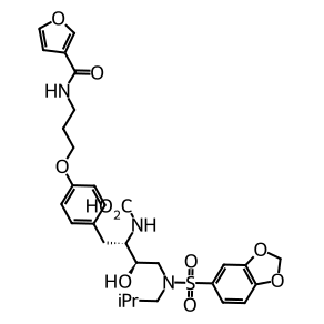 CC(C)CN(C[C@@H](O)[C@H](Cc1ccc(OCCCNC(=O)c2ccoc2)cc1)NC(=O)O)S(=O)(=O)c1ccc2c(c1)OCO2